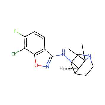 CC1(C)[C@H](Nc2noc3c(Cl)c(F)ccc23)C2CCN1CC2